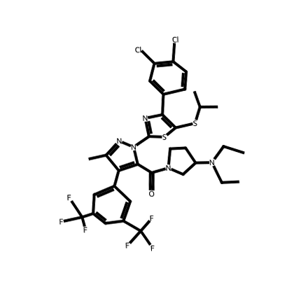 CCN(CC)C1CCN(C(=O)c2c(-c3cc(C(F)(F)F)cc(C(F)(F)F)c3)c(C)nn2-c2nc(-c3ccc(Cl)c(Cl)c3)c(SC(C)C)s2)C1